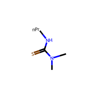 [CH2]CCNC(=S)N(C)C